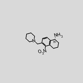 N[C@@H]1CCCc2c1ccc(CN1CCCCC1)c2[N+](=O)[O-]